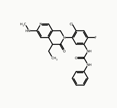 CCC1C(=O)N(c2cc(NC(=O)Nc3ccccc3)c(F)cc2Cl)Cc2cnc(NC)cc21